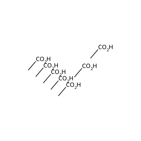 CC(=O)O.CC(=O)O.CC(=O)O.CC(=O)O.CC(=O)O.CC(=O)O.CC(=O)O